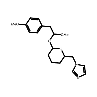 COc1ccc(CC(OC)OC2CCCC(Cn3ccnc3)O2)cc1